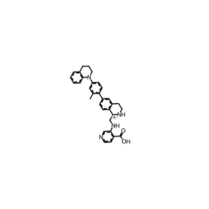 Cc1cc(N2CCCc3ccccc32)ccc1-c1ccc2c(c1)CCN[C@H]2CNc1cnccc1C(=O)O